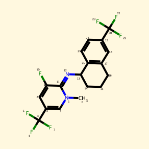 Cn1cc(C(F)(F)F)cc(F)/c1=N/C1CCCc2cc(C(F)(F)F)ccc21